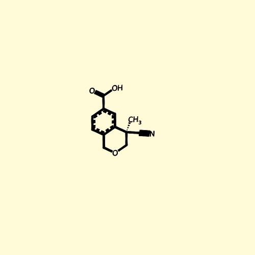 C[C@]1(C#N)COCc2ccc(C(=O)O)cc21